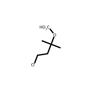 CC(C)(CCCl)OC(=O)O